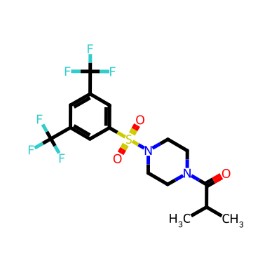 CC(C)C(=O)N1CCN(S(=O)(=O)c2cc(C(F)(F)F)cc(C(F)(F)F)c2)CC1